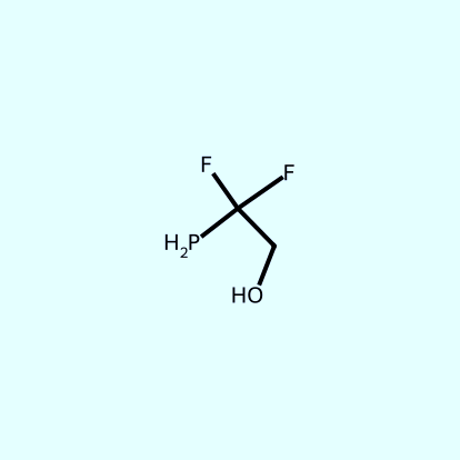 OCC(F)(F)P